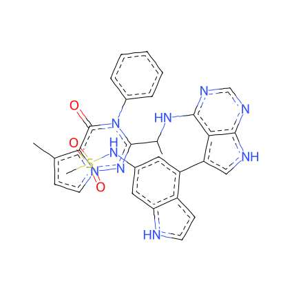 Cc1ccn2nc(C(C)Nc3ncnc4[nH]cc(-c5cc(NS(C)(=O)=O)cc6[nH]ccc56)c34)n(-c3ccccc3)c(=O)c12